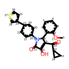 COc1ccccc1C1C(C(=O)C2CC2)=C(O)C(=O)N1c1ccc(-c2ccsc2)cc1